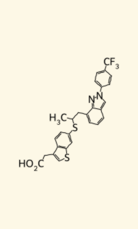 CC(Cc1cccc2cn(-c3ccc(C(F)(F)F)cc3)nc12)Sc1ccc2c(CC(=O)O)csc2c1